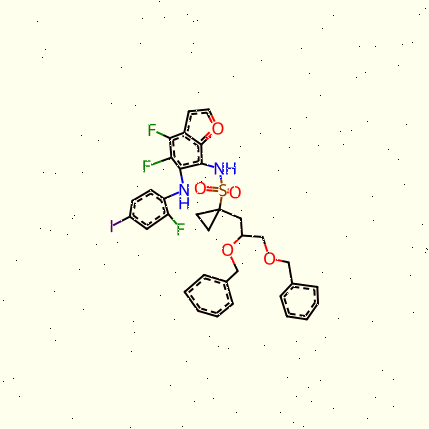 O=S(=O)(Nc1c(Nc2ccc(I)cc2F)c(F)c(F)c2ccoc12)C1(CC(COCc2ccccc2)OCc2ccccc2)CC1